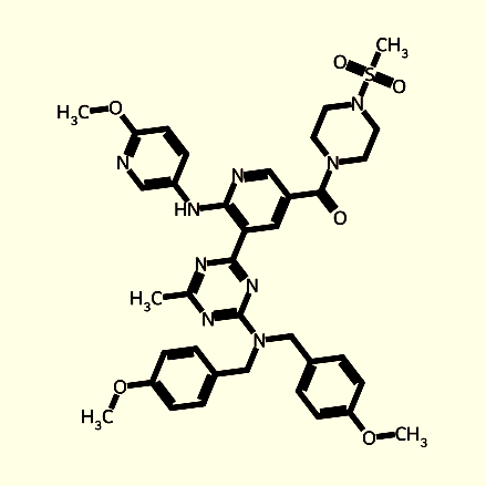 COc1ccc(CN(Cc2ccc(OC)cc2)c2nc(C)nc(-c3cc(C(=O)N4CCN(S(C)(=O)=O)CC4)cnc3Nc3ccc(OC)nc3)n2)cc1